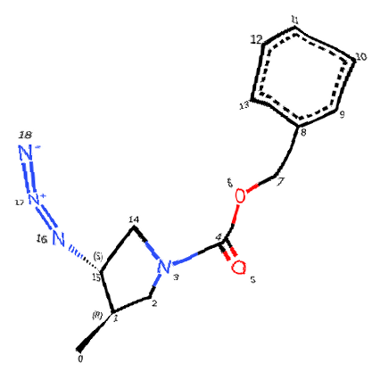 C[C@@H]1CN(C(=O)OCc2ccccc2)C[C@H]1N=[N+]=[N-]